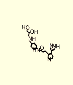 O=C(/C=C/c1cnccc1-c1cn[nH]c1)Nc1ccc(CNCC(O)CO)cc1